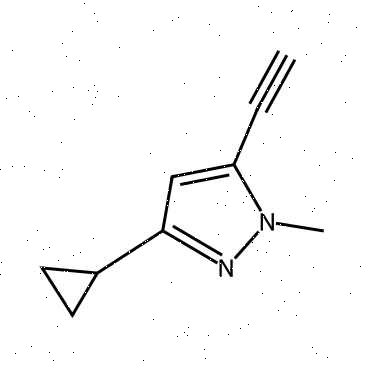 C#Cc1cc(C2CC2)nn1C